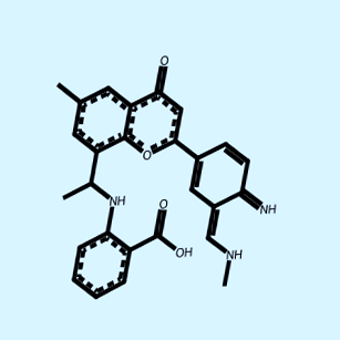 CN/C=C1/C=C(c2cc(=O)c3cc(C)cc(C(C)Nc4ccccc4C(=O)O)c3o2)C=CC1=N